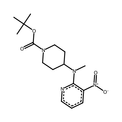 CN(c1ncccc1[N+](=O)[O-])C1CCN(C(=O)OC(C)(C)C)CC1